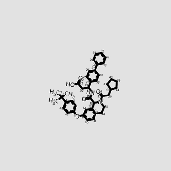 CC(C)(C)c1ccc(Oc2ccc3c(c2)C(C(=O)NC(CC(=O)O)c2ccc(-c4ccccc4)cc2)N(C(=O)CC2CCCC2)CC3)cc1